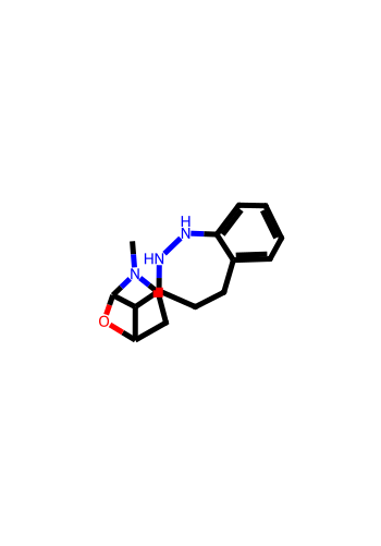 CN1CCC2OC1C2C1CCc2ccccc2NN1